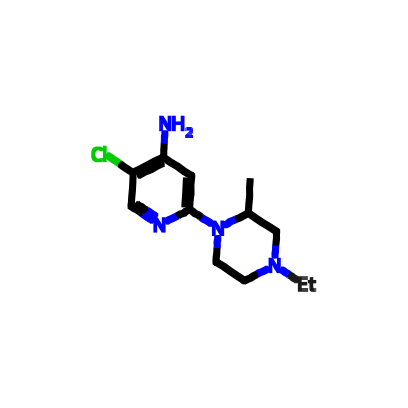 CCN1CCN(c2cc(N)c(Cl)cn2)C(C)C1